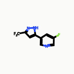 Fc1cncc(-c2cc(C(F)(F)F)n[nH]2)c1